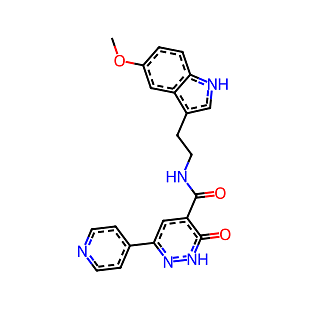 COc1ccc2[nH]cc(CCNC(=O)c3cc(-c4ccncc4)n[nH]c3=O)c2c1